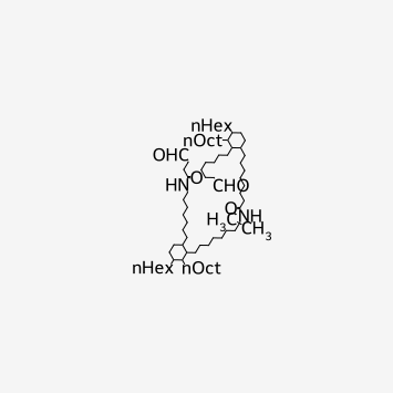 CCCCCCCCC1C(CCCCCC)CCC(CCCCCCCC(=O)NC(C)(C)CCCCCCCC2C(CCCCCCCNC(=O)CCC=O)CCC(CCCCCC)C2CCCCCCCC)C1CCCCCCCC=O